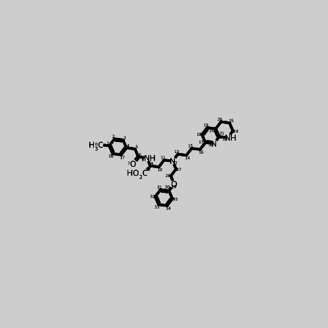 Cc1ccc(CC(=O)NC(CCN(CCCCc2ccc3c(n2)NCCC3)CCOc2ccccc2)C(=O)O)cc1